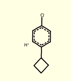 Clc1ccc([C]2CCC2)cc1.[H+]